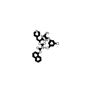 CC(C)c1nc(C(Cc2ccncc2)OC(=O)NC(=O)Oc2cccc3ccccc23)[nH]c1Sc1cc(Cl)cc(Cl)c1